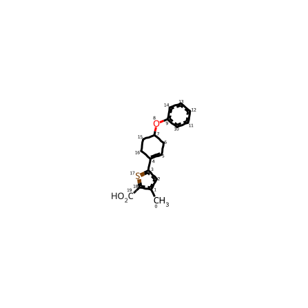 Cc1cc(C2=CCC(Oc3ccccc3)CC2)sc1C(=O)O